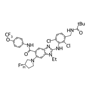 CCn1c(Nc2c(Cl)ccc(CNC(=O)C(C)(C)C)c2Cl)nc2cc(C(=O)Nc3ccc(OC(F)(F)F)cc3)c(N3CC[C@@H](F)C3)cc21